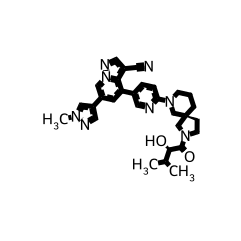 CC(C)[C@@H](O)C(=O)N1CC[C@@]2(CCCN(c3ccc(-c4cc(-c5cnn(C)c5)cn5ncc(C#N)c45)cn3)C2)C1